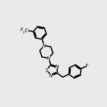 Fc1ccc(Cc2nsc(N3CCN(c4cccc(C(F)(F)F)c4)CC3)n2)cc1